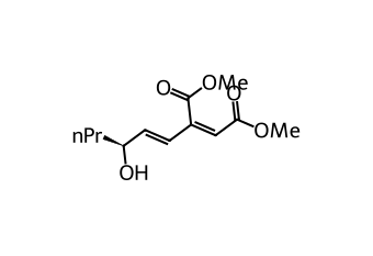 CCC[C@H](O)/C=C/C(=C/C(=O)OC)C(=O)OC